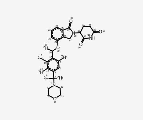 [2H]c1cc(C([2H])([2H])N2CCOCC2)c([2H])c([2H])c1C([2H])Oc1cccc2c1CN(C1CCC(=O)NC1=O)C2=O